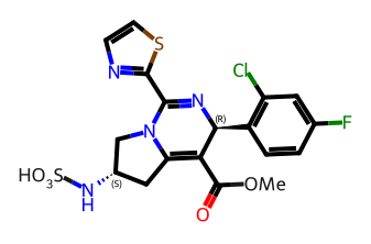 COC(=O)C1=C2C[C@H](NS(=O)(=O)O)CN2C(c2nccs2)=N[C@H]1c1ccc(F)cc1Cl